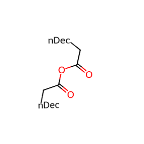 CCCCCCCCCCCC(=O)OC(=O)CCCCCCCCCCC